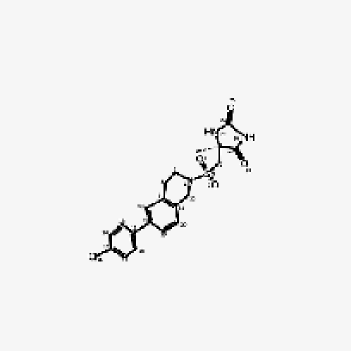 C[C@]1(CS(=O)(=O)N2CCc3cc(-c4ccc(Cl)cc4)ccc3C2)NC(=O)NC1=O